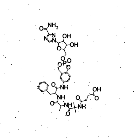 CC(NC(=O)C(C)(C)NC(=O)CCC(=O)O)C(=O)NC(Cc1ccccc1)C(=O)Nc1ccc2c(c1)COP(=O)(OCC1OC(n3cnc(C(N)=O)n3)C(O)C1O)O2